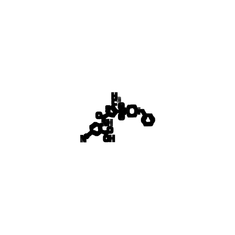 Cc1sc(C(=O)Nc2ccc(C#N)cc2C(=O)O)cc1S(=O)(=O)N1CCN(Cc2ccccc2)CC1